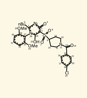 CCCCc1nc(=O)c(S(=O)(=O)C2CCN(C(=O)c3ccc(Cl)cc3)CC2)c(O)n1-c1c(OC)cccc1OC